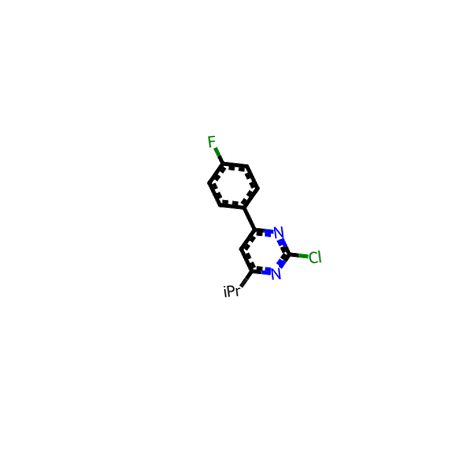 CC(C)c1cc(-c2ccc(F)cc2)nc(Cl)n1